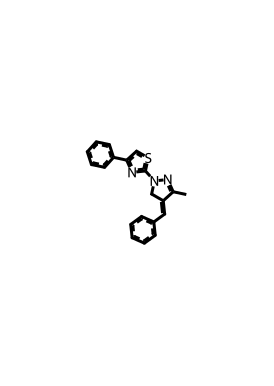 CC1=NN(c2nc(-c3ccccc3)cs2)CC1=Cc1ccccc1